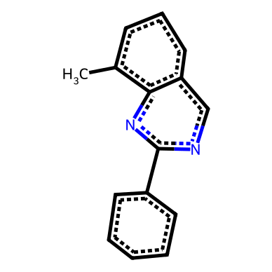 Cc1cccc2cnc(-c3ccccc3)nc12